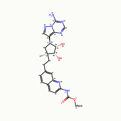 CCCCCOC(=O)Nc1ccc2ccc(CC[C@@]3(C)C[C@@H](c4cnn5c(N)ncnc45)[C@H](O)[C@@H]3O)cc2n1